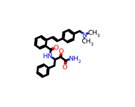 CN(C)Cc1ccc(C=Cc2ccccc2C(=O)NC(Cc2ccccc2)C(=O)C(N)=O)cc1